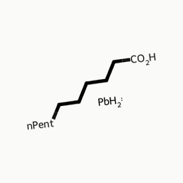 CCCCCCCCCCC(=O)O.[PbH2]